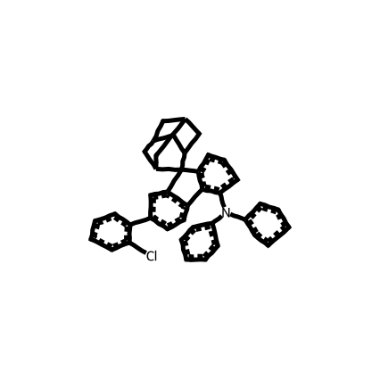 Clc1ccccc1-c1ccc2c(c1)C1(c3cccc(N(c4ccccc4)c4ccccc4)c3-2)C2CC3CC(C2)CC1C3